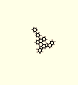 c1ccc(-c2ccc(-c3c4ccccc4c(-c4c5sc6ccccc6c5cc5c4sc4c6ccccc6ccc54)c4ccccc34)cc2)cc1